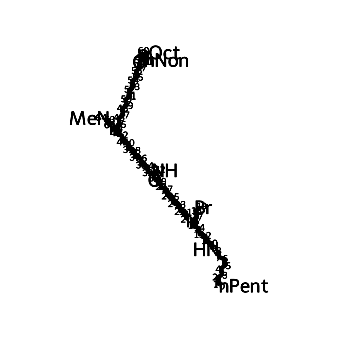 CCCCC/C=C\CC/C=C\CCNCCCCCCN(CCBr)CCCCCCCCCCOC(=N)CCCCCCCCCCCN(CCCCCCCCCCCCCON(CCCCCCCC)CCCCCCCCC)CCNC